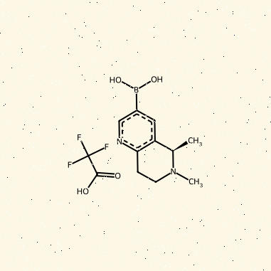 C[C@@H]1c2cc(B(O)O)cnc2CCN1C.O=C(O)C(F)(F)F